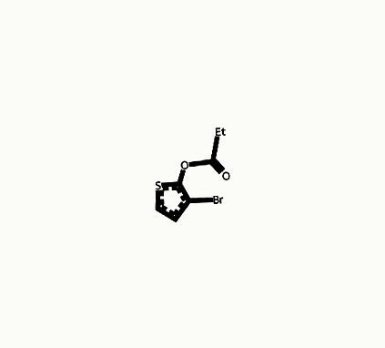 CCC(=O)Oc1sccc1Br